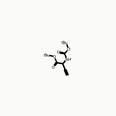 C#CC(NC(=O)OC(C)(C)C)C(=O)OC(C)(C)C